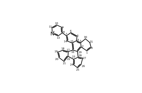 C1=Cc2c(c3ccc(-c4cccnc4)cc3c3c4ccccc4c4ccccc4c23)CC1